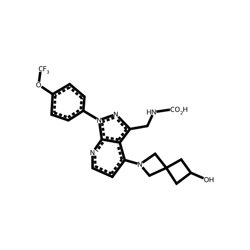 O=C(O)NCc1nn(-c2ccc(OC(F)(F)F)cc2)c2nccc(N3CC4(CC(O)C4)C3)c12